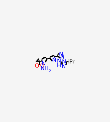 CC(C)c1cncc(Nc2c(-c3ccc(-c4ccc(C5(C(=O)ON)CC5)nc4)cn3)cnn2C)n1